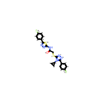 O=C(CSc1nnc(-c2ccc(F)cc2)n1C1CC1)Nc1nnc(-c2ccc(F)cc2)s1